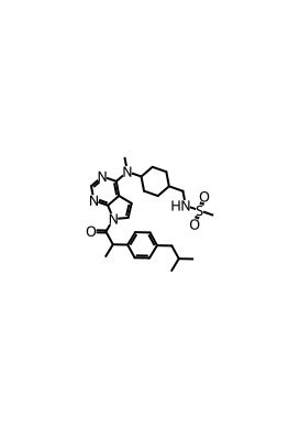 CC(C)Cc1ccc(C(C)C(=O)n2ccc3c(N(C)C4CCC(CNS(C)(=O)=O)CC4)ncnc32)cc1